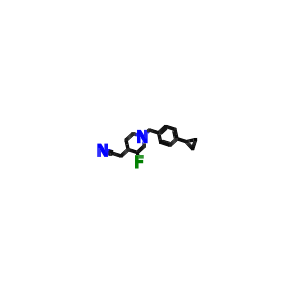 N#CCC1CCN(Cc2ccc(C3CC3)cc2)CC1F